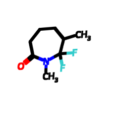 CC1CCCC(=O)N(C)C1(F)F